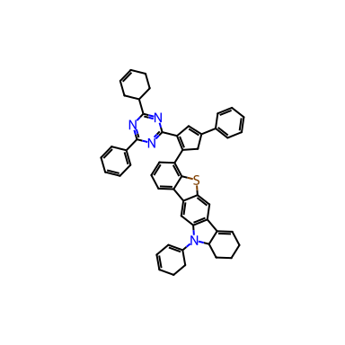 C1=CCCC(N2c3cc4c(cc3C3=CCCCC32)sc2c(C3=C(c5nc(-c6ccccc6)nc(C6CC=CCC6)n5)C=C(c5ccccc5)C3)cccc24)=C1